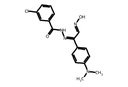 CN(C)c1ccc(C(C=NO)=NNC(=O)c2cccc(Cl)c2)cc1